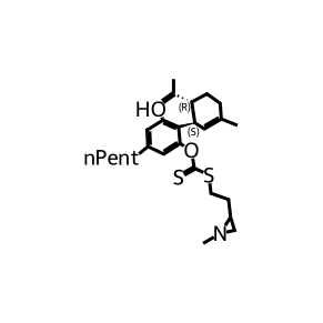 C=C(C)[C@@H]1CCC(C)=C[C@H]1c1c(O)cc(CCCCC)cc1OC(=S)SCCC1CN1C